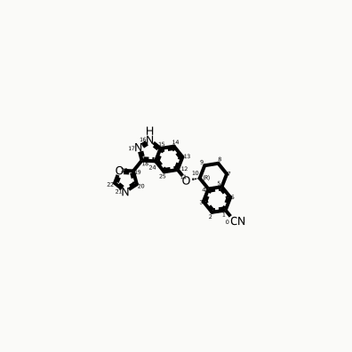 N#Cc1ccc2c(c1)CCC[C@H]2Oc1ccc2[nH]nc(-c3cnco3)c2c1